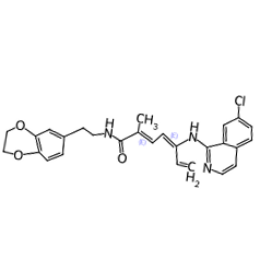 C=C/C(=C\C=C(/C)C(=O)NCCc1ccc2c(c1)OCCO2)Nc1nccc2ccc(Cl)cc12